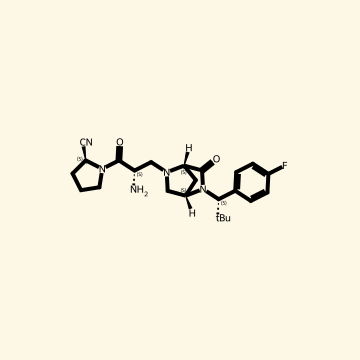 CC(C)(C)[C@@H](c1ccc(F)cc1)N1C(=O)[C@@H]2C[C@H]1CN2C[C@H](N)C(=O)N1CCC[C@H]1C#N